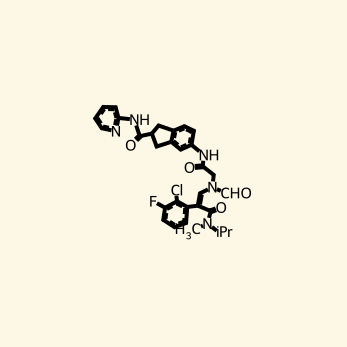 CC(C)N(C)C(=O)/C(=C\N(C=O)CC(=O)Nc1ccc2c(c1)CC(C(=O)Nc1ccccn1)C2)c1cccc(F)c1Cl